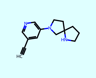 C#Cc1cncc(N2CCC3(CCCN3)C2)c1